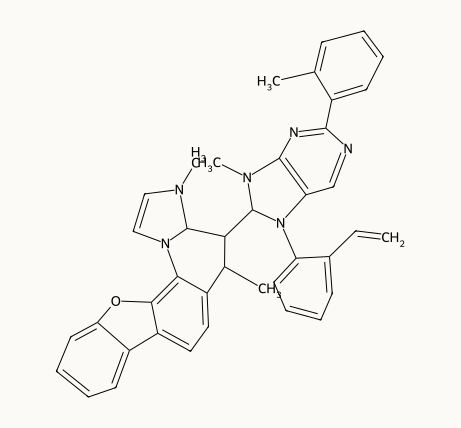 C=Cc1ccccc1N1c2cnc(-c3ccccc3C)nc2N(C)C1C1C(C)c2ccc3c(oc4ccccc43)c2N2C=CN(C)C12